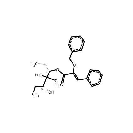 CC[C@@H](O)C(C)(C)[C@H](CC)OC(=O)C(=Cc1ccccc1)OCc1ccccc1